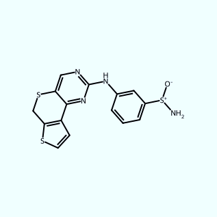 N[S+]([O-])c1cccc(Nc2ncc3c(n2)-c2ccsc2CS3)c1